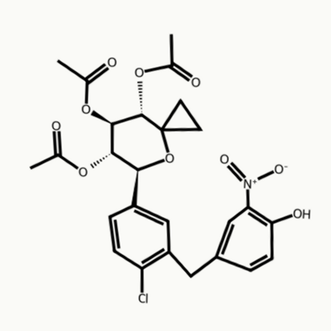 CC(=O)O[C@@H]1[C@@H](OC(C)=O)[C@H](OC(C)=O)C2(CC2)O[C@H]1c1ccc(Cl)c(Cc2ccc(O)c([N+](=O)[O-])c2)c1